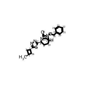 C[C@H]1C[C@H](c2nnc([C@@H]3CC[C@@H]4CN3C(=O)N4OCc3ccccc3)s2)C1